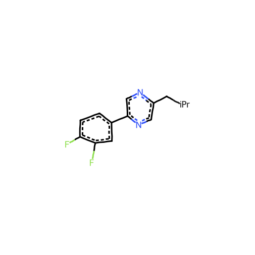 CC(C)Cc1cnc(-c2ccc(F)c(F)c2)cn1